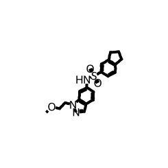 COCCn1ncc2ccc(NS(=O)(=O)c3ccc4c(c3)CCC4)cc21